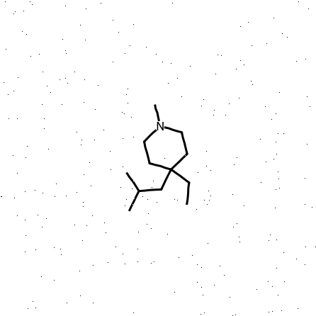 CCC1(CC(C)C)CCN(C)CC1